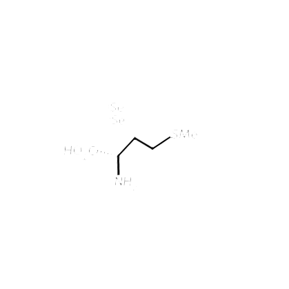 CSCC[C@H](N)C(=O)O.[Se].[Se]